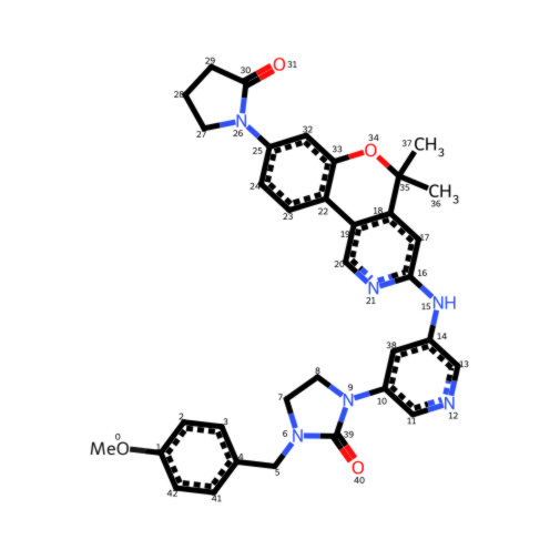 COc1ccc(CN2CCN(c3cncc(Nc4cc5c(cn4)-c4ccc(N6CCCC6=O)cc4OC5(C)C)c3)C2=O)cc1